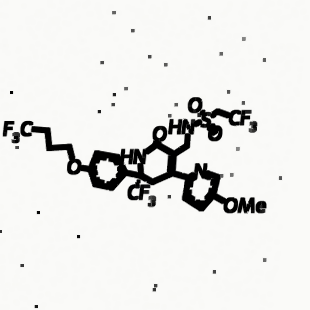 COc1ccc(C2=C(CNS(=O)(=O)CC(F)(F)F)C(=O)N[C@@](c3ccc(OCCCC(F)(F)F)cc3)(C(F)(F)F)C2)nc1